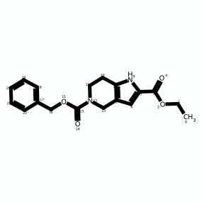 CCOC(=O)c1cc2c([nH]1)CCN(C(=O)OCc1ccccc1)C2